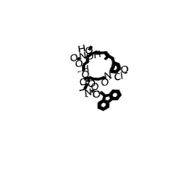 COc1cc2cc(c1Cl)N(C)C(=O)C[C@H](OC(=O)[C@H](C)N(C)C(=O)OCC1c3ccccc3-c3ccccc31)C(C)(C)O[C@H](C)[C@@H]1C[C@@](O)(NC(=O)O1)[C@H](OC)/C=C/C=C(\C)C2